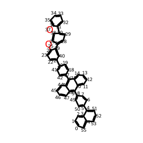 c1ccc2c(-c3ccc(-c4c5ccccc5c(-c5ccc(-c6ccc7oc8c(ccc9c%10ccccc%10oc98)c7c6)cc5)c5ccccc45)cc3)cccc2c1